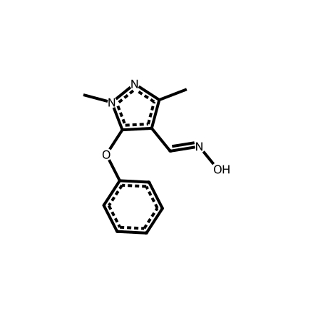 Cc1nn(C)c(Oc2ccccc2)c1/C=N/O